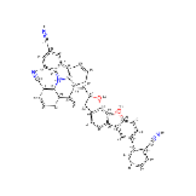 N#CC1=C(n2c3c(c4cc(C#N)ccc42)C=CCC3)C(C2=CC3c4ccc5c(oc6ccc(-c7ccccc7C#N)cc65)c4OC3C=C2)CC=C1